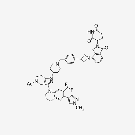 CC(=O)N1CCc2c(c(N3CCCc4cc(-c5cnn(C)c5)c(C(F)F)cc43)nn2C2CCN(Cc3ccc(C4CN(c5cccc6c5CN(C5CCC(=O)NC5=O)C6=O)C4)cc3)CC2)C1